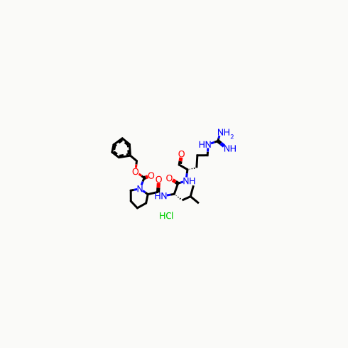 CC(C)C[C@H](NC(=O)C1CCCCN1C(=O)OCc1ccccc1)C(=O)N[C@H](C=O)CCCNC(=N)N.Cl